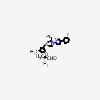 Cc1cc(CN2CCN(c3ccc(-c4cccc(F)c4)cn3)[C@H](CC(C)C)C2)cc(OC(C)(C)C=O)c1